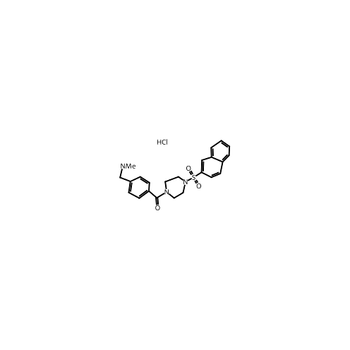 CNCc1ccc(C(=O)N2CCN(S(=O)(=O)c3ccc4ccccc4c3)CC2)cc1.Cl